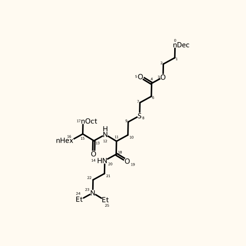 CCCCCCCCCCCCOC(=O)CCSCCC(NC(=O)C(CCCCCC)CCCCCCCC)C(=O)NCCN(CC)CC